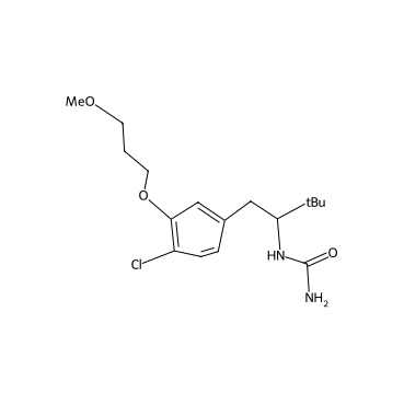 COCCCOc1cc(CC(NC(N)=O)C(C)(C)C)ccc1Cl